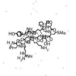 CSCC[C@H](NC(=O)[C@H](CO)NC(=O)[C@@H]1CCCN1C(=O)[C@@H](C)CCCNC(=N)N)C(=O)N[C@H](C(=O)N[C@@H](CC(=O)O)C(=O)N[C@@H](CCCCN)C(=O)N[C@@H](Cc1ccc(O)cc1)C(=O)N[C@@H](CCCNC(=N)N)C(=O)N[C@@H](CC(C)C)C(N)=O)[C@@H](C)O